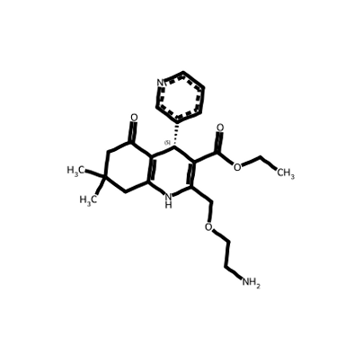 CCOC(=O)C1=C(COCCN)NC2=C(C(=O)CC(C)(C)C2)[C@@H]1c1cccnc1